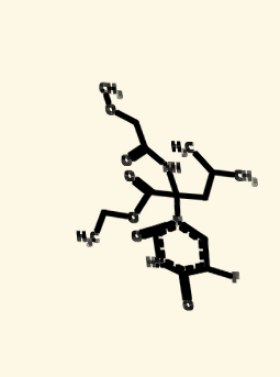 CCOC(=O)C(CC(C)C)(NC(=O)COC)n1cc(F)c(=O)[nH]c1=O